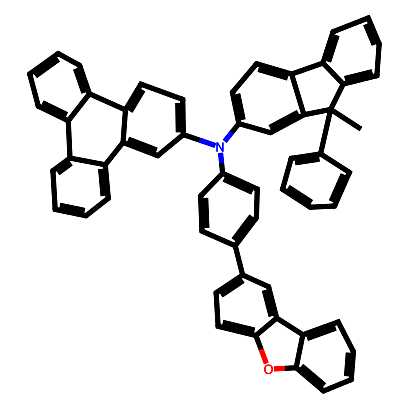 CC1(c2ccccc2)c2ccccc2-c2ccc(N(c3ccc(-c4ccc5oc6ccccc6c5c4)cc3)c3ccc4c5ccccc5c5ccccc5c4c3)cc21